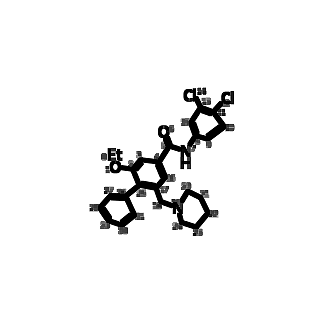 CCOc1cc(C(=O)Nc2ccc(Cl)c(Cl)c2)cc(CN2CCCCC2)c1-c1ccccc1